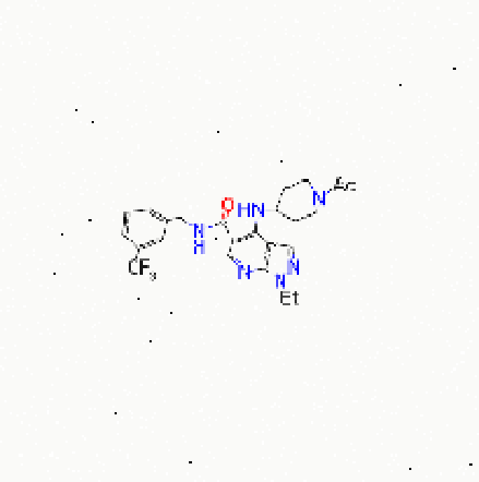 CCn1ncc2c(NC3CCN(C(C)=O)CC3)c(C(=O)NCc3cccc(C(F)(F)F)c3)cnc21